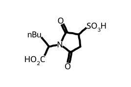 CCCCC(C(=O)O)N1C(=O)CC(S(=O)(=O)O)C1=O